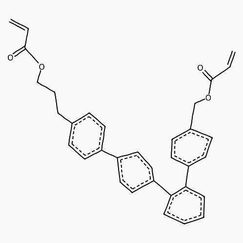 C=CC(=O)OCCCc1ccc(-c2ccc(-c3ccccc3-c3ccc(COC(=O)C=C)cc3)cc2)cc1